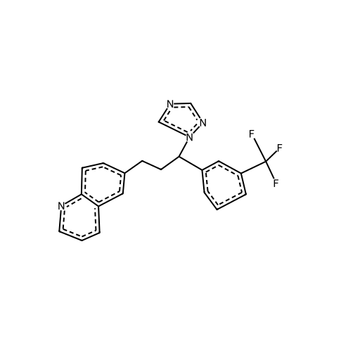 FC(F)(F)c1cccc(C(CCc2ccc3ncccc3c2)n2cncn2)c1